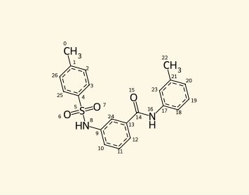 Cc1ccc(S(=O)(=O)Nc2cccc(C(=O)Nc3cccc(C)c3)c2)cc1